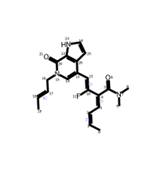 C\C=C/C=C(C(=O)N(C)C)\C(F)=C\c1cn(C/C=C/C)c(=O)c2[nH]ccc12